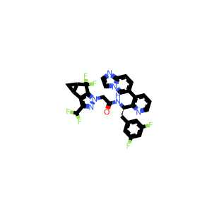 O=C(Cn1nc(C(F)F)c2c1C(F)(F)C1CC21)N[C@@H](Cc1cc(F)cc(F)c1)c1ncccc1-c1ccc2nccn2c1